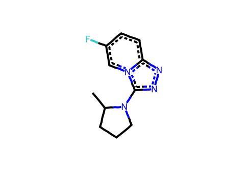 CC1CCCN1c1nnc2ccc(F)cn12